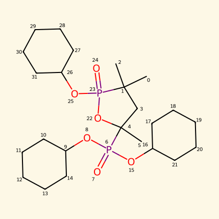 CC1(C)CC(C)(P(=O)(OC2CCCCC2)OC2CCCCC2)OP1(=O)OC1CCCCC1